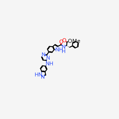 COC(=O)[C@H](Cc1ccccc1)NC(=O)c1cc2ccc(-c3nccc(Nc4ccc5[nH]ncc5c4)n3)cc2[nH]1